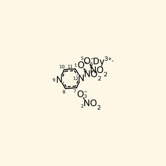 O=[N+]([O-])[O-].O=[N+]([O-])[O-].O=[N+]([O-])[O-].[Dy+3].c1cnccn1